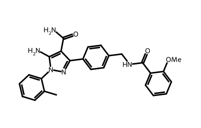 COc1ccccc1C(=O)NCc1ccc(-c2nn(-c3ccccc3C)c(N)c2C(N)=O)cc1